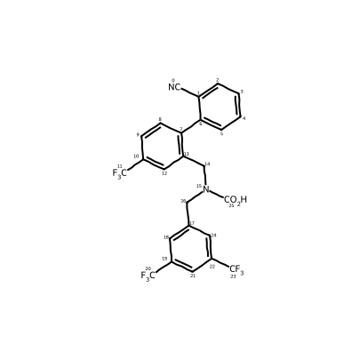 N#Cc1ccccc1-c1ccc(C(F)(F)F)cc1CN(Cc1cc(C(F)(F)F)cc(C(F)(F)F)c1)C(=O)O